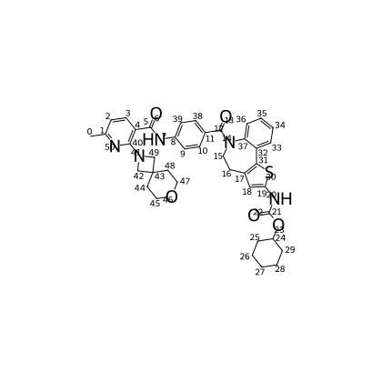 Cc1ccc(C(=O)Nc2ccc(C(=O)N3CCc4cc(NC(=O)OC5CCCCC5)sc4-c4ccccc43)cc2)c(N2CC3(CCOCC3)C2)n1